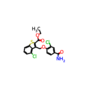 CCOC(=O)c1sc2cccc(Cl)c2c1COc1ccc(C(N)=O)cc1Cl